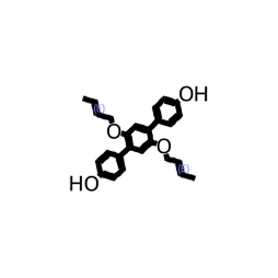 C/C=C/COc1cc(-c2ccc(O)cc2)c(OC/C=C/C)cc1-c1ccc(O)cc1